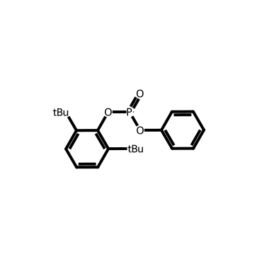 CC(C)(C)c1cccc(C(C)(C)C)c1O[P](=O)Oc1ccccc1